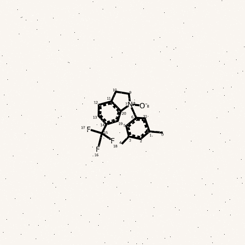 Cc1cc(C)cc([N+]2([O-])CCc3ccc(C(F)(F)F)cc32)c1